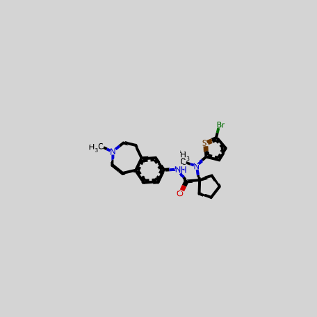 CN1CCc2ccc(NC(=O)C3(N(C)c4ccc(Br)s4)CCCC3)cc2CC1